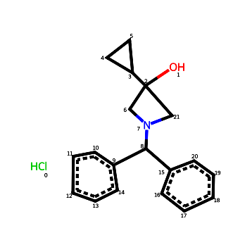 Cl.OC1(C2CC2)CN(C(c2ccccc2)c2ccccc2)C1